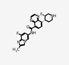 Cc1cn2cc(NC(=O)c3ccc([C@H]4CCNC[C@@H]4F)c4nccnc34)cc(F)c2n1